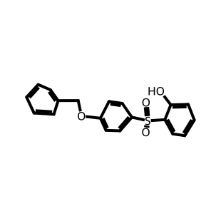 O=S(=O)(c1ccc(OCc2ccccc2)cc1)c1ccccc1O